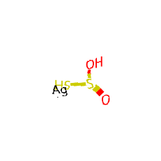 O=S(O)S.[Ag]